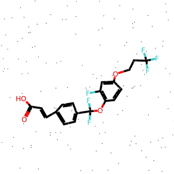 O=C(O)C=Cc1ccc(C(F)(F)Oc2ccc(OCCC(F)(F)F)cc2F)cc1